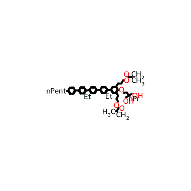 C=C(C)C(=O)OCCCc1cc(-c2ccc(-c3ccc(-c4ccc(-c5ccc(CCCCC)cc5)cc4F)c(CC)c3)cc2CC)cc(CCCOC(=O)C(=C)C)c1OCCC(CO)(CO)CCC